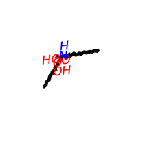 CCCCCCCCCCCCCC(=O)N[C@H](CO)COCC[C@H](O)CCCCCCC